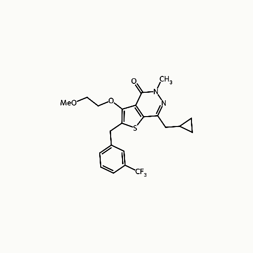 COCCOc1c(Cc2cccc(C(F)(F)F)c2)sc2c(CC3CC3)nn(C)c(=O)c12